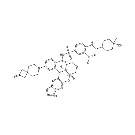 CC1(O)CCC(CNc2ccc(S(=O)(=O)NC(=O)c3ccc(N4CCC5(CC4)CC(=O)C5)cc3N3c4cc5cc[nH]c5nc4O[C@H]4COCC[C@@H]43)cc2[N+](=O)[O-])CC1